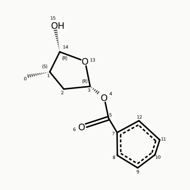 C[C@H]1C[C@@H](OC(=O)c2ccccc2)O[C@H]1O